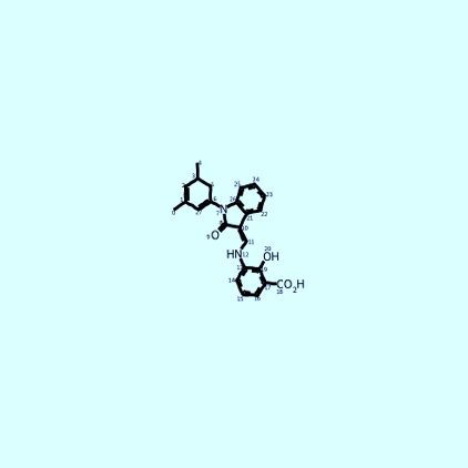 CC1=CC(C)CC(N2C(=O)/C(=C\Nc3cccc(C(=O)O)c3O)c3ccccc32)=C1